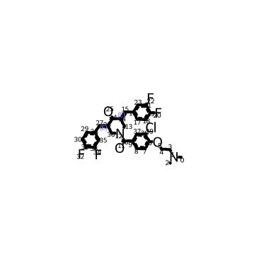 CN(C)CCOc1ccc(C(=O)N2C/C(=C\c3ccc(F)c(F)c3)C(=O)/C(=C/c3ccc(F)c(F)c3)C2)cc1Cl